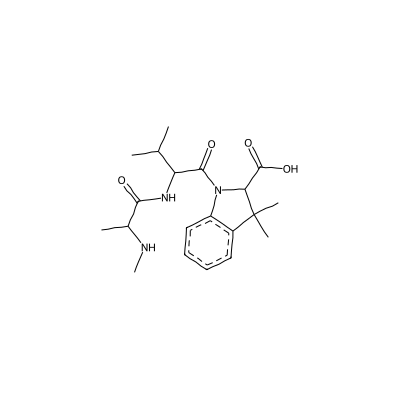 CNC(C)C(=O)NC(C(=O)N1c2ccccc2C(C)(C)C1C(=O)O)C(C)C